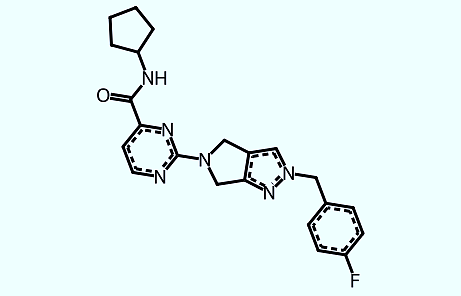 O=C(NC1CCCC1)c1ccnc(N2Cc3cn(Cc4ccc(F)cc4)nc3C2)n1